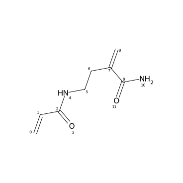 C=CC(=O)NCCC(=C)C(N)=O